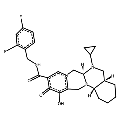 O=C(NCc1ccc(F)cc1F)c1cn2c(c(O)c1=O)CN1[C@H]3CCCC[C@H]3CN(C3CC3)[C@@H]1C2